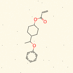 C=CC(=O)OC1CCC(C(C)Oc2ccccc2)CC1